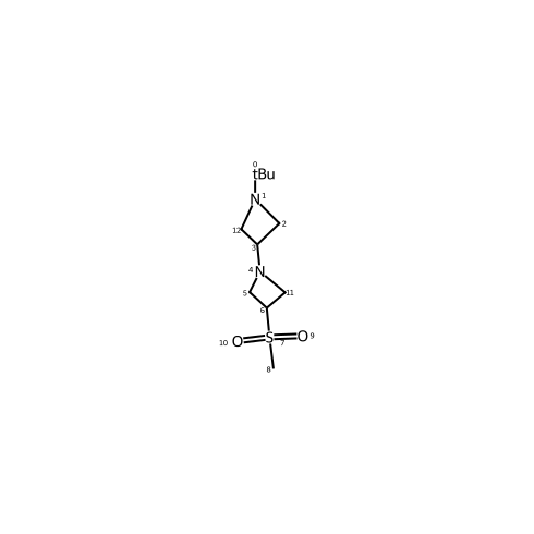 CC(C)(C)N1CC(N2CC(S(C)(=O)=O)C2)C1